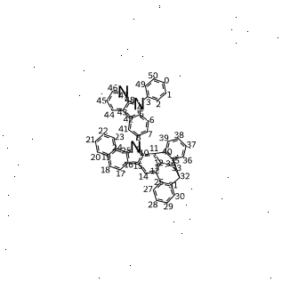 c1ccc(-n2c3ccc(-n4c5c6c7c(cc5c5ccc8ccccc8c54)-c4ccccc4C(CC7)c4ccccc4-6)cc3c3cccnc32)cc1